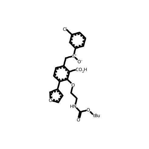 CC(C)(C)OC(=O)NCCOc1c(-c2ccoc2)ccc(C[S+]([O-])c2cccc(Cl)c2)c1C(=O)O